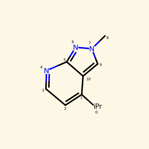 CC(C)c1ccnc2nn(C)cc12